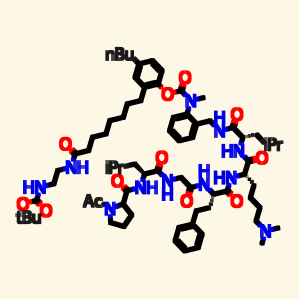 CCCCc1ccc(OC(=O)N(C)c2ccccc2CNC(=O)[C@H](CC(C)C)NC(=O)[C@H](CCCCN(C)C)NC(=O)[C@H](CCc2ccccc2)NC(=O)CNC(=O)[C@H](CC(C)C)NC(=O)C2CCCN2C(C)=O)c(CCCCCCCC(=O)NCCNC(=O)OC(C)(C)C)c1